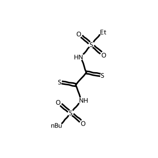 CCCCS(=O)(=O)NC(=S)C(=S)NS(=O)(=O)CC